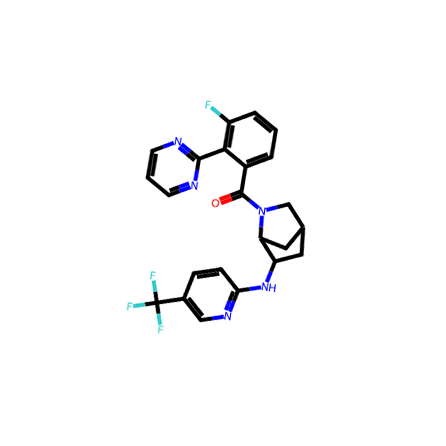 O=C(c1cccc(F)c1-c1ncccn1)N1CC2CC(Nc3ccc(C(F)(F)F)cn3)C1C2